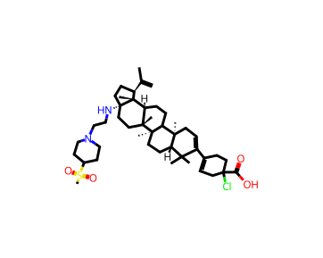 C=C(C)[C@@H]1CC[C@]2(NCCN3CCC(S(C)(=O)=O)CC3)CC[C@]3(C)[C@H](CCC4[C@@]5(C)CC=C(C6=CCC(Cl)(C(=O)O)CC6)C(C)(C)[C@@H]5CC[C@]43C)[C@@]12C